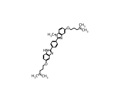 CN(C)CCCOc1ccc2[nH]c(-c3ccc(-c4nc5cc(OCCCN(C)C)ccc5n4C)cc3)nc2c1